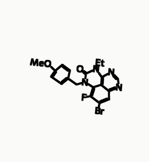 CCN1C(=O)N(Cc2ccc(OC)cc2)c2c(F)c(Br)cc3ncnc1c23